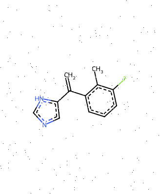 C=C(c1cnc[nH]1)c1cccc(F)c1C